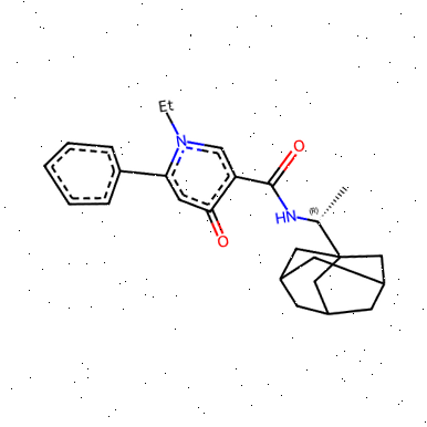 CCn1cc(C(=O)N[C@H](C)C23CC4CC(CC(C4)C2)C3)c(=O)cc1-c1ccccc1